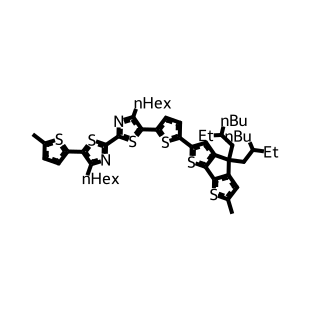 CCCCCCc1nc(-c2nc(CCCCCC)c(-c3ccc(-c4cc5c(s4)-c4sc(C)cc4C5(CC(CC)CCCC)CC(CC)CCCC)s3)s2)sc1-c1ccc(C)s1